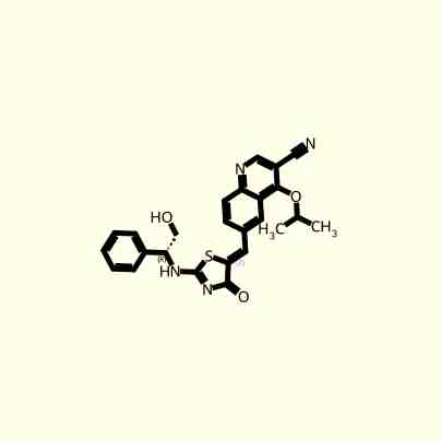 CC(C)Oc1c(C#N)cnc2ccc(/C=C3\SC(N[C@@H](CO)c4ccccc4)=NC3=O)cc12